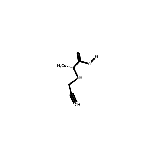 C#CCN[C@H](C)C(=O)OCC